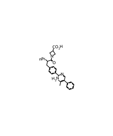 CCCC(Cc1ccc(C(N)/N=C\C(=C(C)C)c2ccccc2)cc1)C(=O)N1CC(C(=O)O)C1